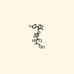 Cc1onc(-c2ccc(F)cc2)c1COc1cc(C(=O)NC(C)CO)n(C)n1